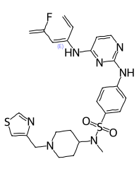 C=C/C(=C\C(=C)F)Nc1ccnc(Nc2ccc(S(=O)(=O)N(C)C3CCN(Cc4cscn4)CC3)cc2)n1